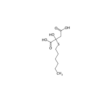 CCCCCCSC(O)(CC(=O)O)C(=O)O